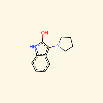 Oc1[nH]c2ccccc2c1N1CCCC1